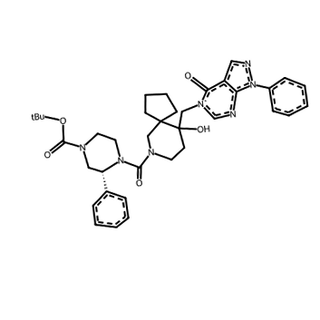 CC(C)(C)OC(=O)N1CCN(C(=O)N2CCC(O)(Cn3cnc4c(cnn4-c4ccccc4)c3=O)C3(CCCC3)C2)[C@H](c2ccccc2)C1